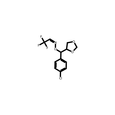 FC(F)(F)/C=N\OC(c1ccc(Cl)cc1)C1COCO1